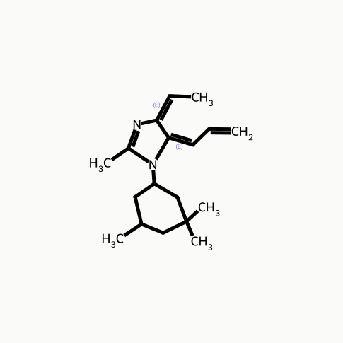 C=C/C=c1\c(=C/C)nc(C)n1C1CC(C)CC(C)(C)C1